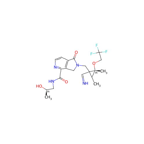 CC1C(C=N)(CN2Cc3c(ccnc3C(=O)NC[C@@H](C)O)C2=O)[C@]1(C)OCC(F)(F)F